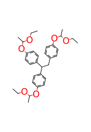 CCOC(C)Oc1ccc(CC(c2ccc(OC(C)OCC)cc2)c2ccc(OC(C)OCC)cc2)cc1